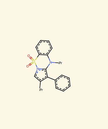 CC(C)c1cn2c(c1-c1ccccc1)N(C(C)C)c1ccccc1S2(=O)=O